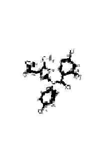 Cc1sc(N(C(=O)c2ccc(Cl)cc2Cl)c2ccc(Cl)cc2)nc1C(=O)O